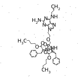 C=CCNc1nc(N)nc2c1ncn2CCOCP(=O)(N[C@@H](Cc1ccccc1)C(=O)OCCCC)N[C@@H](Cc1ccccc1)C(=O)OCCCC